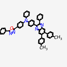 Cc1ccc(-c2cc3nc(-c4ccccc4)c(-c4ccc(N(c5ccccc5)c5ccc(-c6nnc(-c7ccccc7)o6)cc5)cc4)nc3cc2-c2ccc(C)cc2)cc1